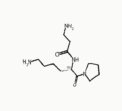 NCCCC[C@H](NC(=O)CCN)C(=O)N1CCCC1